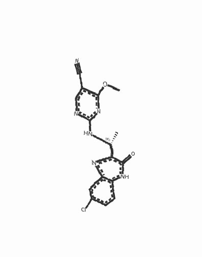 COc1nc(N[C@H](C)c2nc3cc(Cl)ccc3[nH]c2=O)ncc1C#N